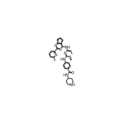 C=N/C(=N\C(=C/C)Nc1nc(-c2cccc(C)n2)nn2cccc12)Nc1ccc(C(=O)NC2CCNCC2)cc1